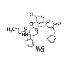 CCOC(=O)NC1(c2ccccc2)CCN(CCC2(c3ccc(Cl)c(Cl)c3)CN(Cc3ccccc3)C(=O)CO2)CC1.Cl.O